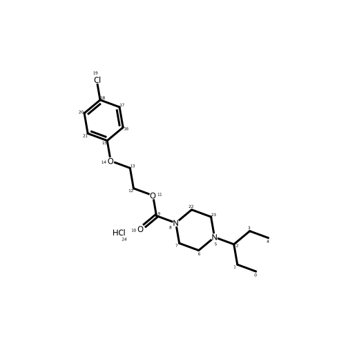 CCC(CC)N1CCN(C(=O)OCCOc2ccc(Cl)cc2)CC1.Cl